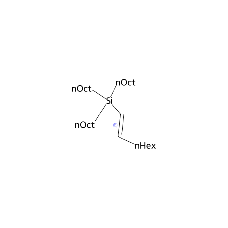 CCCCCC/C=C/[Si](CCCCCCCC)(CCCCCCCC)CCCCCCCC